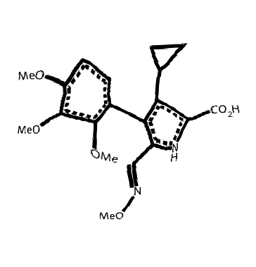 CO/N=C/c1[nH]c(C(=O)O)c(C2CC2)c1-c1ccc(OC)c(OC)c1OC